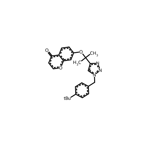 CC(C)(C)c1ccc(Cn2cc(C(C)(C)Oc3ccc4c(=O)ccoc4c3)nn2)cc1